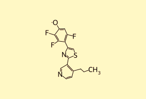 CCCc1ccncc1-c1nc(-c2c(F)cc([O])c(F)c2F)cs1